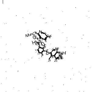 COc1ncc(F)cc1S(=O)(=O)Nc1ccc(F)c(COc2cnc3[nH]ncc3c2C)c1F